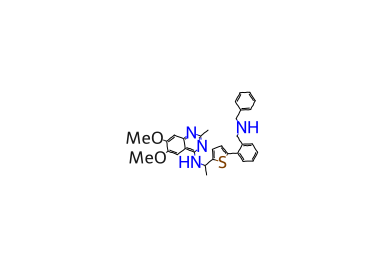 COc1cc2nc(C)nc(NC(C)c3ccc(-c4ccccc4CNCc4ccccc4)s3)c2cc1OC